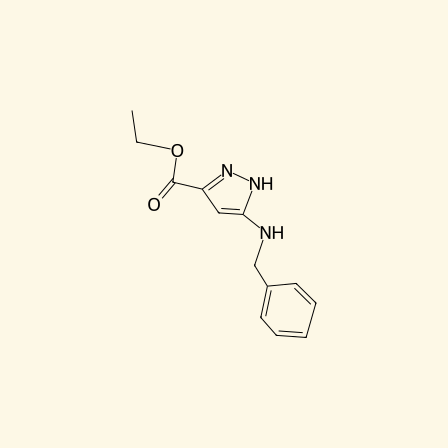 CCOC(=O)c1cc(NCc2ccccc2)[nH]n1